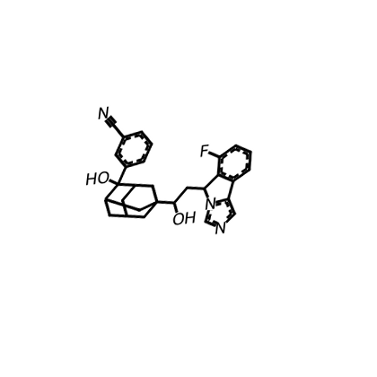 N#Cc1cccc(C2(O)C3CC4CC2CC(C(O)CC2c5c(F)cccc5-c5cncn52)(C4)C3)c1